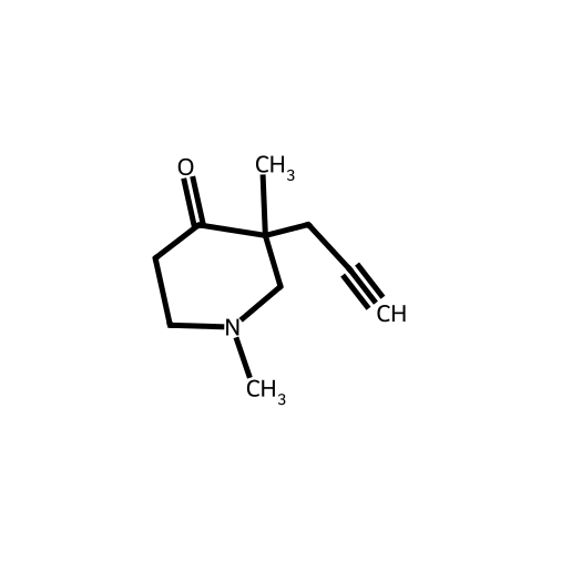 C#CCC1(C)CN(C)CCC1=O